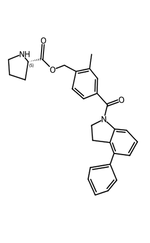 Cc1cc(C(=O)N2CCc3c(-c4ccccc4)cccc32)ccc1COC(=O)[C@@H]1CCCN1